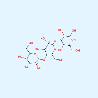 OCC1OC(OC2C(CO)OC(O[C@H](C(O)CO)C(O)[C@H](O)CO)[C@@H](O)C2O)[C@@H](O)C(O)C1O